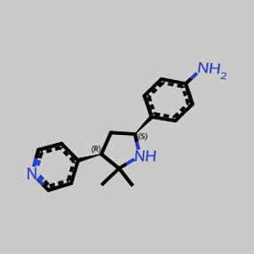 CC1(C)N[C@H](c2ccc(N)cc2)C[C@@H]1c1ccncc1